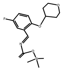 C=C(N=Cc1cc(F)ccc1OC1CCOCC1)O[Si](C)(C)C